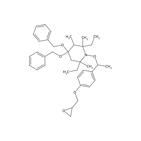 CCC1(C)CC(OCc2ccccc2)(OCc2ccccc2)C(C)C(C)(CC)N1OC(C)c1ccc(OCC2CO2)cc1